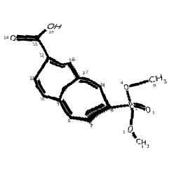 COP(=O)(OC)c1ccc2ccc(C(=O)O)cc2c1